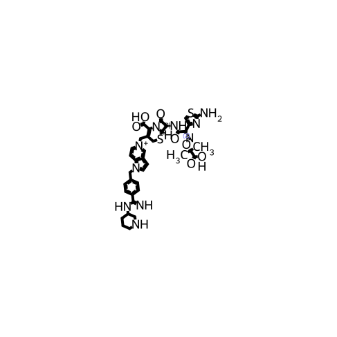 CC(C)(O/N=C(\C(=O)N[C@@H]1C(=O)N2C(C(=O)O)=C(C[n+]3ccc4c(ccn4Cc4ccc(C(=N)NC5CCCNC5)cc4)c3)CS[C@H]12)c1csc(N)n1)C(=O)O